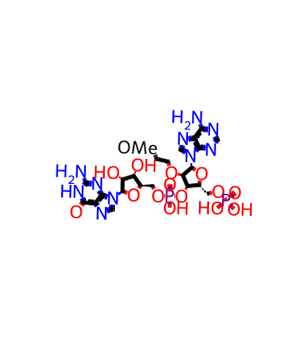 COCCO[C@@H]1[C@H](OP(=O)(O)OC[C@H]2O[C@@H](n3cnc4c(=O)[nH]c(N)nc43)[C@H](O)[C@@H]2O)[C@@H](COP(=O)(O)O)O[C@H]1n1cnc2c(N)ncnc21